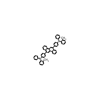 Cc1ccccc1N(c1ccccc1)c1ccc(-c2cc3c4ccccc4c(-c4ccc(N(c5ccccc5)c5ccccc5C)cc4)cc3c3ccccc23)cc1